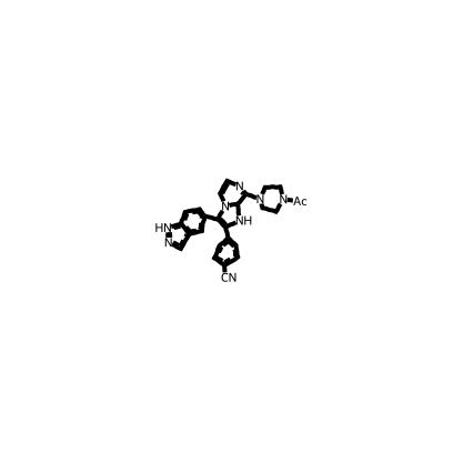 CC(=O)N1CCN(C2=NC=CN3C(c4ccc5[nH]ncc5c4)=C(c4ccc(C#N)cc4)NC23)CC1